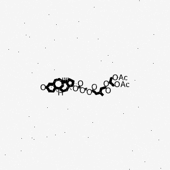 CC(=O)OCC(COC(C)=O)OC(=O)CC(C)CC(=O)OCOC(=O)O[C@H]1CC[C@H]2[C@@H]3CCC4=CC(=O)CC[C@]4(C)[C@@H](CC[C@]12C)C3